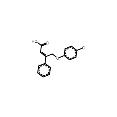 O=C(O)/C=C(\COc1ccc(Cl)cc1)c1ccccc1